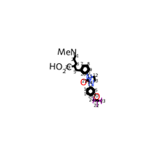 CNCCCC(Cc1cccc(N2CCN(c3cccc(OC(I)(I)I)c3)C2=O)c1)C(=O)O